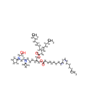 CCCCC/C=C\C/C=C\CCCCCCCC(=O)OCC(CCCCN(CCN(CCO)C1CCCC1)C1CCC1)COC(=O)CC(CCCCCC)CCCCCCCC